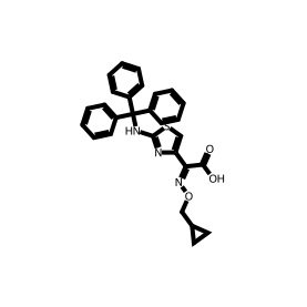 O=C(O)C(=NOCC1CC1)c1csc(NC(c2ccccc2)(c2ccccc2)c2ccccc2)n1